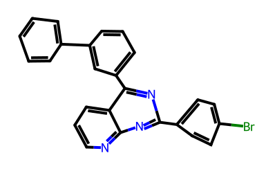 Brc1ccc(-c2nc(-c3cccc(-c4ccccc4)c3)c3cccnc3n2)cc1